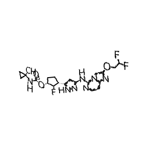 CC1(NC(=O)O[C@@H]2CC[C@H](c3cc(Nc4nccc5nc(OCC(F)F)cn45)n[nH]3)[C@H]2F)CC1